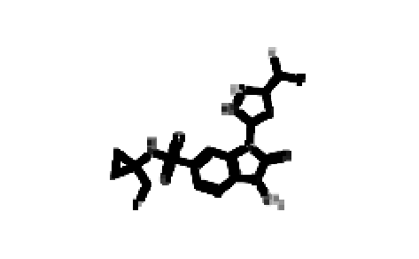 Cn1c(=O)n(C2NNC(C(F)F)S2)c2cc(S(=O)(=O)NC3(CF)CC3)ccc21